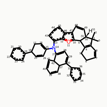 CC1(C)C2=C(CCC=C2)C2c3oc4c(N(C5=CCC(c6ccccc6)C=C5)C5=CC=C(c6ccccc6)C6C=CC=CC56)cccc4c3C=C[C@@H]21